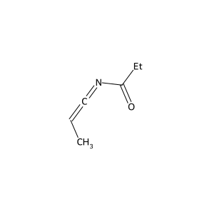 CC=C=NC(=O)CC